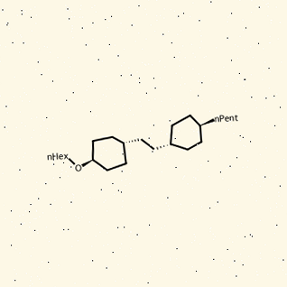 CCCCCCO[C@H]1CC[C@H](CC[C@H]2CC[C@H](CCCCC)CC2)CC1